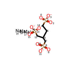 O=S(=O)([O-])CCC(CS(=O)(=O)[O-])CS(=O)(=O)[O-].[Na+].[Na+].[Na+]